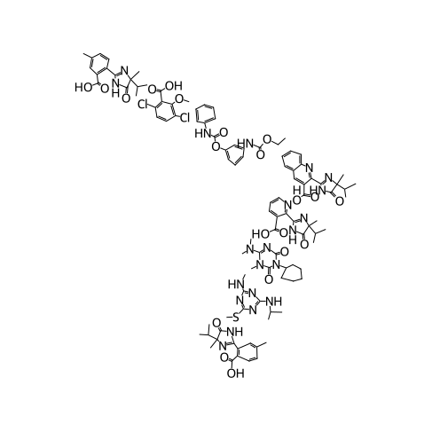 CC(C)C1(C)N=C(c2nc3ccccc3cc2C(=O)O)NC1=O.CC(C)C1(C)N=C(c2ncccc2C(=O)O)NC1=O.CCOC(=O)Nc1cccc(OC(=O)Nc2ccccc2)c1.CN(C)c1nc(=O)n(C2CCCCC2)c(=O)n1C.CNc1nc(NC(C)C)nc(SC)n1.COc1c(Cl)ccc(Cl)c1C(=O)O.Cc1ccc(C(=O)O)c(C2=NC(C)(C(C)C)C(=O)N2)c1.Cc1ccc(C2=NC(C)(C(C)C)C(=O)N2)c(C(=O)O)c1